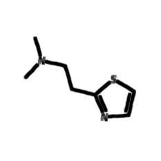 CN(C)CCc1nccs1